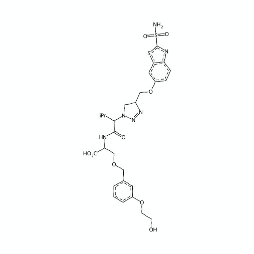 CC(C)C(C(=O)NC(COCc1cccc(OCCO)c1)C(=O)O)N1CC(COc2ccc3nc(S(N)(=O)=O)sc3c2)N=N1